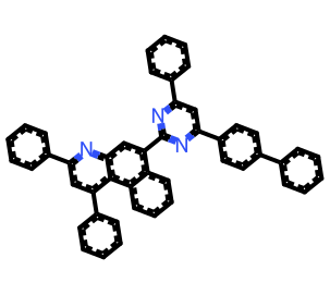 c1ccc(-c2ccc(-c3cc(-c4ccccc4)nc(-c4cc5nc(-c6ccccc6)cc(-c6ccccc6)c5c5ccccc45)n3)cc2)cc1